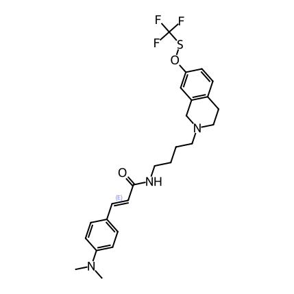 CN(C)c1ccc(/C=C/C(=O)NCCCCN2CCc3ccc(OSC(F)(F)F)cc3C2)cc1